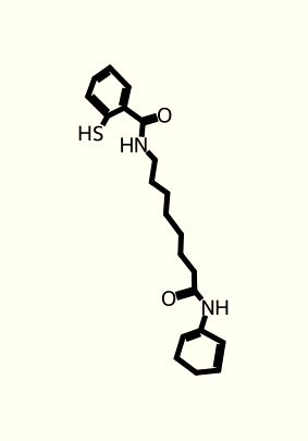 O=C(CCCCCCCNC(=O)c1ccccc1S)NC1=CCCC=C1